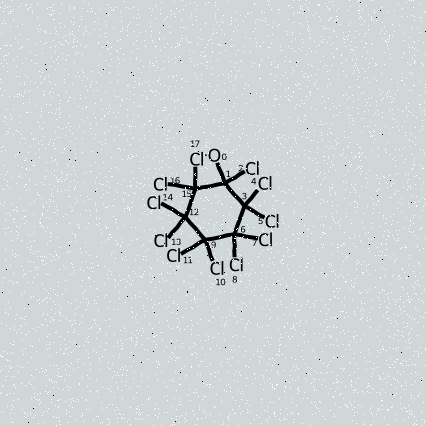 [O]C1(Cl)C(Cl)(Cl)C(Cl)(Cl)C(Cl)(Cl)C(Cl)(Cl)C1(Cl)Cl